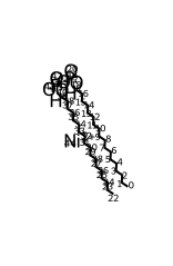 CCCCCCCCCCCCCCCCCCO[PH](=O)[O-].CCCCCCCCCCCCCCCCCCO[PH](=O)[O-].[Ni+2]